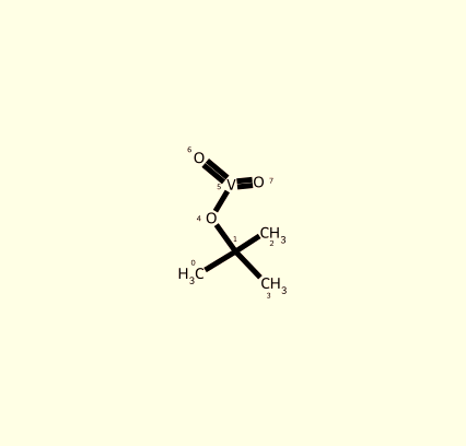 CC(C)(C)[O][V](=[O])=[O]